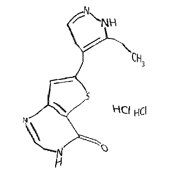 Cc1[nH]ncc1-c1cc2nc[nH]c(=O)c2s1.Cl.Cl